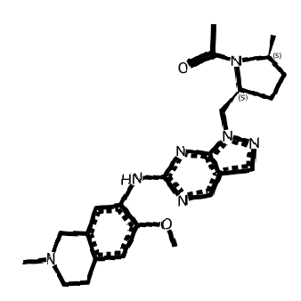 COc1cc2c(cc1Nc1ncc3cnn(C[C@@H]4CC[C@H](C)N4C(C)=O)c3n1)CN(C)CC2